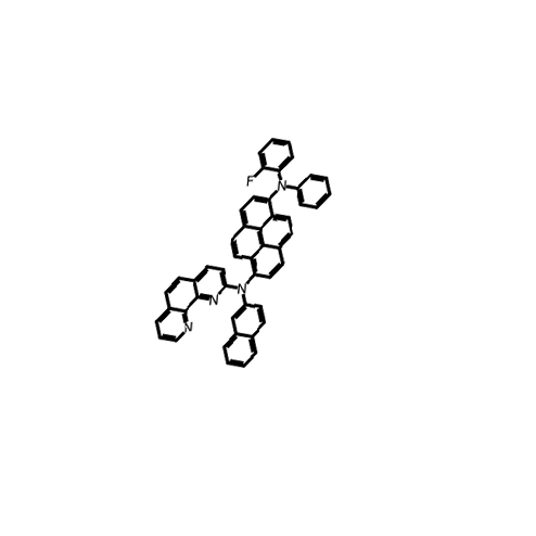 Fc1ccccc1N(c1ccccc1)c1ccc2ccc3c(N(c4ccc5ccccc5c4)c4ccc5ccc6cccnc6c5n4)ccc4ccc1c2c43